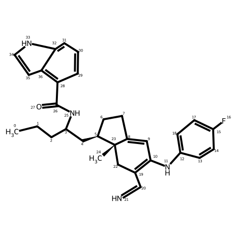 CCCC(C[C@H]1CCC2=CC(Nc3ccc(F)cc3)=C(C=N)C[C@@]21C)NC(=O)c1cccc2[nH]ccc12